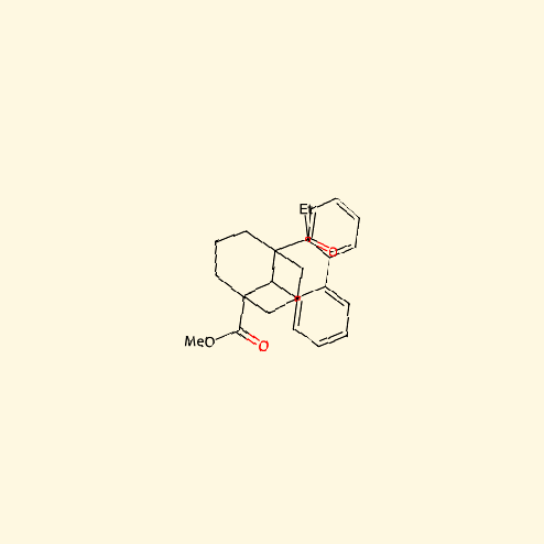 CCC(=O)C12CCCC(C(=O)OC)(CCC1)C2c1ccccc1-c1ccccc1